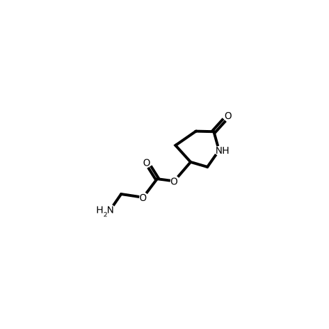 NCOC(=O)OC1CCC(=O)NC1